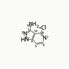 Bc1n[nH]c2ccnc(Cl)c12